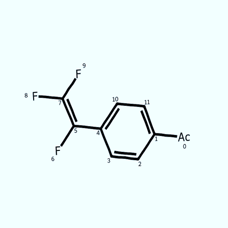 CC(=O)c1ccc(C(F)=C(F)F)cc1